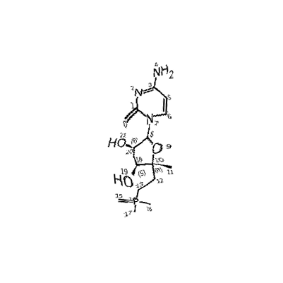 C=C1N=C(N)C=CN1C1O[C@](C)(CCP(=C)(C)C)[C@@H](O)[C@H]1O